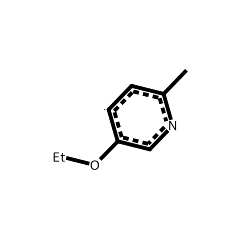 CCOc1[c]cc(C)nc1